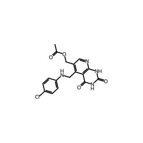 CC(=O)OCc1cnc2[nH]c(=O)[nH]c(=O)c2c1CNc1ccc(Cl)cc1